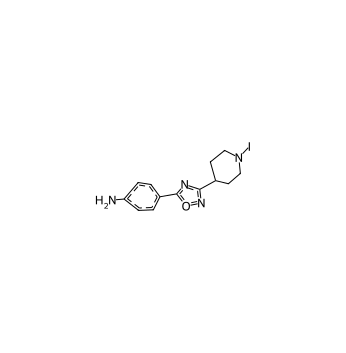 Nc1ccc(-c2nc(C3CCN(I)CC3)no2)cc1